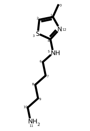 Cc1csc(NCCCCCN)n1